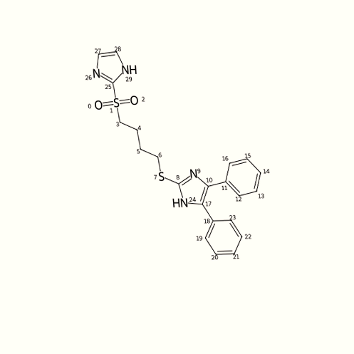 O=S(=O)(CCCCSc1nc(-c2ccccc2)c(-c2ccccc2)[nH]1)c1ncc[nH]1